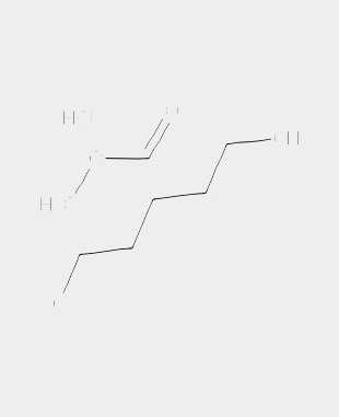 CCCCCCC.COC=O.Cl